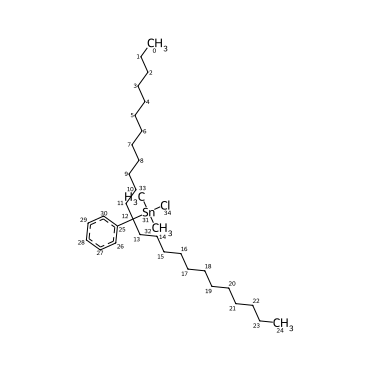 CCCCCCCCCCCC[C](CCCCCCCCCCCC)(c1ccccc1)[Sn]([CH3])([CH3])[Cl]